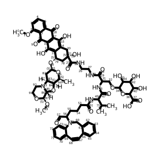 COc1cccc2c1C(=O)c1c(O)c3c(c(O)c1C2=O)C[C@@](O)(C(=O)NCCNC(=O)C(COC1OC(C(=O)O)C(O)C(O)C1O)NC(=O)C(NC(=O)CCCC(C=O)N1Cc2ccccc2C#Cc2ccccc21)C(C)C)C[C@@H]3O[C@@H]1C[C@H]2[C@H](O[C@@H]3[C@@H](OC)OCCN32)[C@H](C)O1